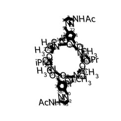 CC(=O)Nc1ccn(Cc2ccc(C[C@H]3OC(=O)[C@H](CC(C)C)N(C)C(=O)[C@@H](C)OC(=O)[C@H](CC(C)C)N(C)C(=O)[C@@H](Cc4ccc(Cn5ccc(NC(C)=O)n5)cc4)OC(=O)[C@H](CC(C)C)N(C)C(=O)[C@@H](C)OC(=O)[C@H](CC(C)C)N(C)C3=O)cc2)n1